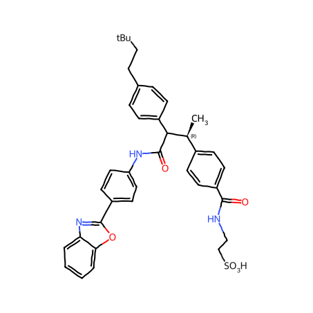 C[C@@H](c1ccc(C(=O)NCCS(=O)(=O)O)cc1)C(C(=O)Nc1ccc(-c2nc3ccccc3o2)cc1)c1ccc(CCC(C)(C)C)cc1